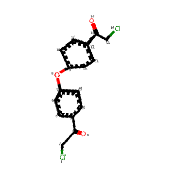 O=C(CCl)c1ccc(Oc2ccc(C(=O)CCl)cc2)cc1